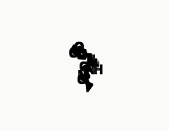 C[C@@H]1CN(Cc2ccc3c(c2)OCCO3)C[C@@H]1NC(=O)c1cc(C2CC2)on1